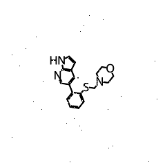 [c]1c(-c2ccccc2SCN2CCOCC2)cnc2[nH]ccc12